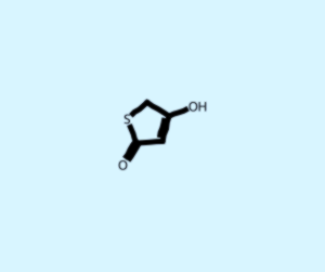 O=C1C=C(O)CS1